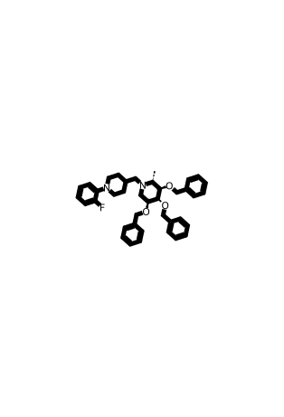 C[C@@H]1[C@@H](OCc2ccccc2)[C@H](OCc2ccccc2)[C@@H](OCc2ccccc2)CN1CC1CCN(c2ccccc2F)CC1